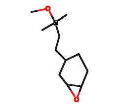 CO[Si](C)(C)CCC1CCC2OC2C1